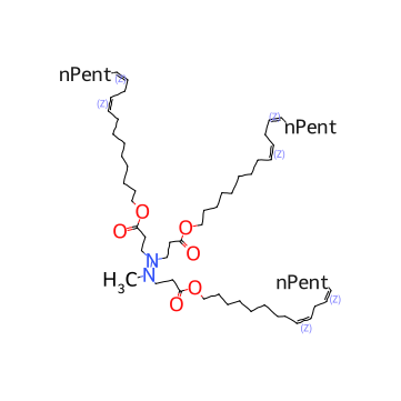 CCCCC/C=C\C/C=C\CCCCCCCCOC(=O)CCN(C)N(CCC(=O)OCCCCCCCC/C=C\C/C=C\CCCCC)CCC(=O)OCCCCCCCC/C=C\C/C=C\CCCCC